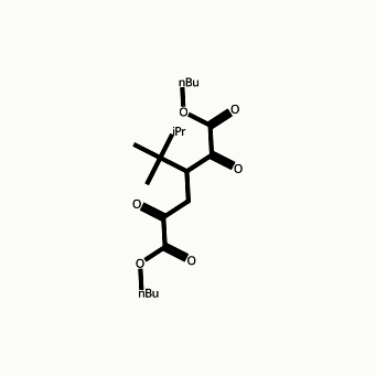 CCCCOC(=O)C(=O)CC(C(=O)C(=O)OCCCC)C(C)(C)C(C)C